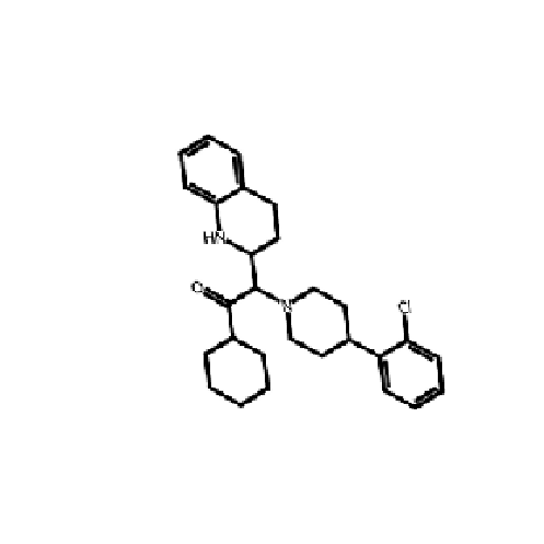 O=C(C1CCCCC1)C(C1CCc2ccccc2N1)N1CCC(c2ccccc2Cl)CC1